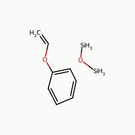 C=COc1ccccc1.[SiH3]O[SiH3]